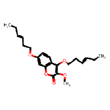 CCC=CCCOc1ccc2c(OCCC=CCC)c(OC)c(=O)oc2c1